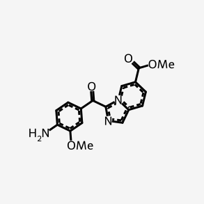 COC(=O)c1ccc2cnc(C(=O)c3ccc(N)c(OC)c3)n2c1